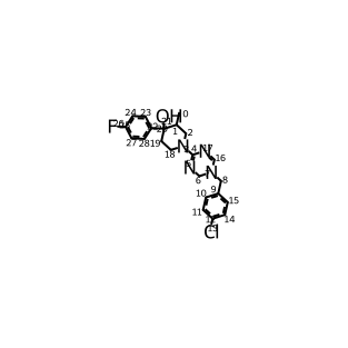 CC1CN(C2=NCN(Cc3ccc(Cl)cc3)C=N2)CCC1(O)c1ccc(F)cc1